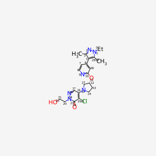 CCn1nc(C)c(-c2ccnc(O[C@@H]3CCN(c4cnn(CCO)c(=O)c4Cl)C3)c2)c1C